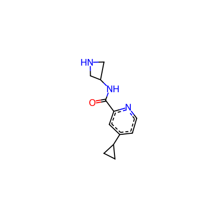 O=C(NC1CNC1)c1cc(C2CC2)ccn1